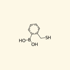 OB(O)c1ccccc1CS